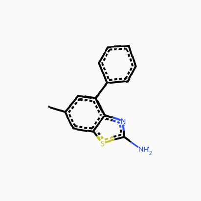 Cc1cc(-c2ccccc2)c2nc(N)sc2c1